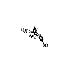 C/N=N\c1c(C(=O)Nc2ccc(C(C)=O)cc2)sc2nc(C)cc(CO)c12